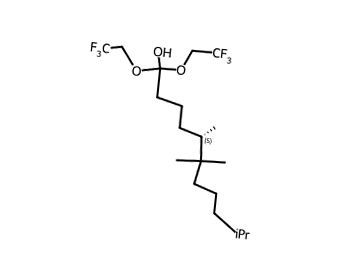 CC(C)CCCC(C)(C)[C@@H](C)CCCC(O)(OCC(F)(F)F)OCC(F)(F)F